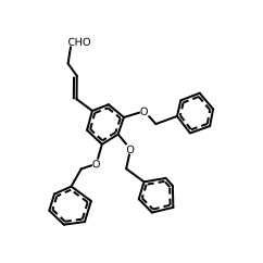 O=CCC=Cc1cc(OCc2ccccc2)c(OCc2ccccc2)c(OCc2ccccc2)c1